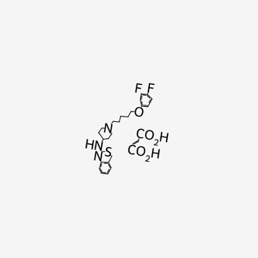 Fc1ccc(OCCCCCN2CCC(NC3=Nc4ccccc4CS3)CC2)cc1F.O=C(O)C=CC(=O)O